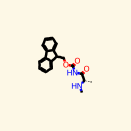 CN[C@@H](C)C(=O)NC(=O)OCC1c2ccccc2-c2ccccc21